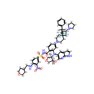 CC(C)(c1ccccc1[C@@H]1CCCN1C1CC2(CCN(c3ccc(C(=O)NS(=O)(=O)c4ccc(NCC5CCOCC5)c([N+](=O)[O-])c4)c(N4c5cc6cc[nH]c6nc5O[C@@H]5COC[C@H]54)c3)CC2)C1)C(F)(F)F